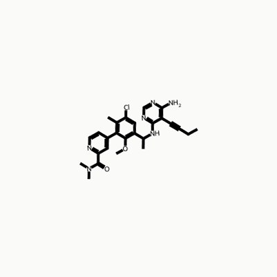 CCC#Cc1c(N)ncnc1NC(C)c1cc(Cl)c(C)c(-c2ccnc(C(=O)N(C)C)c2)c1OC